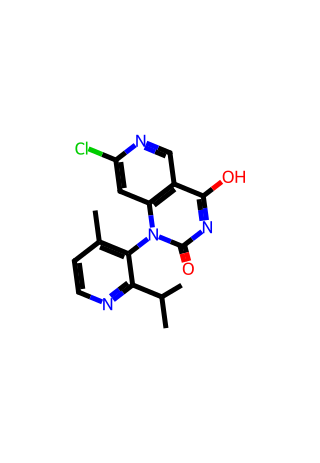 Cc1ccnc(C(C)C)c1-n1c(=O)nc(O)c2cnc(Cl)cc21